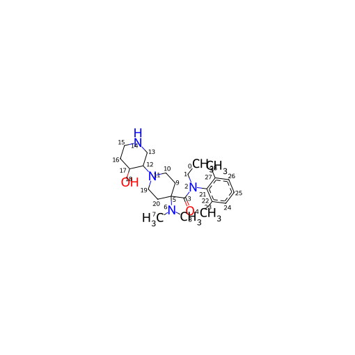 CCN(C(=O)C1(N(C)C)CCN(C2CNCCC2O)CC1)c1c(C)cccc1C